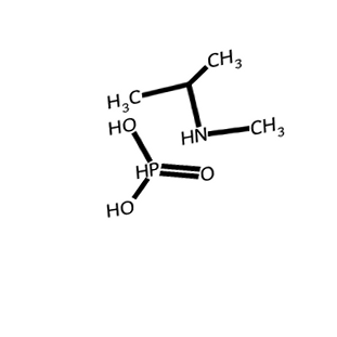 CNC(C)C.O=[PH](O)O